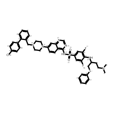 CN(C)CCC(CSc1ccccc1)Nc1c(F)cc(S(=O)(=O)Nc2ncnc3cc(N4CCN(Cc5ccccc5-c5ccc(Cl)cc5)CC4)ccc23)cc1F